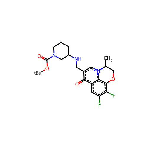 CC1COc2c(F)c(F)cc3c(=O)c(CNC4CCCN(C(=O)OC(C)(C)C)C4)cn1c23